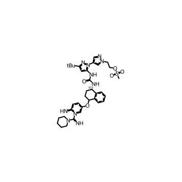 CC(C)(C)c1cc(NC(=O)N[C@H]2CCC(Oc3ccc(=N)n(C(=N)N4CCCCC4)c3)c3ccccc32)n(-c2cnn(CCOS(C)(=O)=O)c2)n1